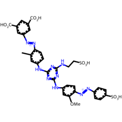 COc1cc(Nc2nc(NCCS(=O)(=O)O)nc(Nc3ccc(/N=N/c4cc(C(=O)O)cc(C(=O)O)c4)c(C)c3)n2)ccc1/N=N/c1ccc(S(=O)(=O)O)cc1